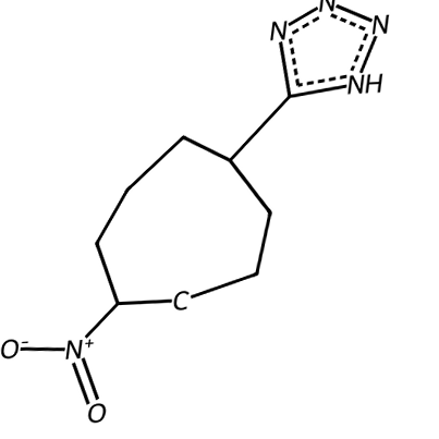 O=[N+]([O-])C1CCCC(c2nnn[nH]2)CCC1